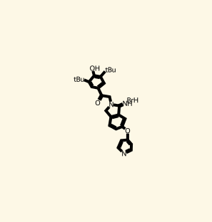 Br.CC(C)(C)c1cc(C(=O)CN2Cc3ccc(Oc4ccncc4)cc3C2=N)cc(C(C)(C)C)c1O